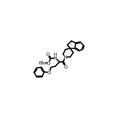 CC(C)(C)OC(=O)NC(CCOc1ccccc1)C(=O)N1CCC2(CCc3ccccc32)CC1